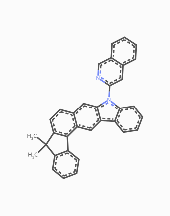 CC1(C)c2ccccc2-c2c1ccc1cc3c(cc21)c1ccccc1n3-c1cc2ccccc2cn1